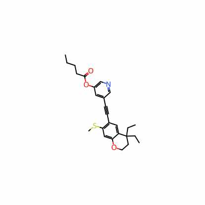 CCCCC(=O)Oc1cncc(C#Cc2cc3c(cc2SC)OCCC3(CC)CC)c1